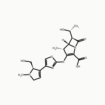 C[C@@H](O)[C@H]1C(=O)N2C(C(=O)O)=C(Sc3nc(C4=CCN(C)[C@H]4CO)cs3)[C@H](C)[C@H]12